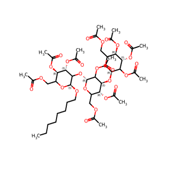 CCCCCCCCO[C@H]1OC(COC(C)=O)[C@@H](OC(C)=O)[C@H](OC(C)=O)C1O[C@H]1OC(COC(C)=O)[C@@H](OC(C)=O)[C@H](O[C@H]2OC(COC(C)=O)[C@@H](OC(C)=O)[C@H](OC(C)=O)C2OC(C)=O)C1OC(C)=O